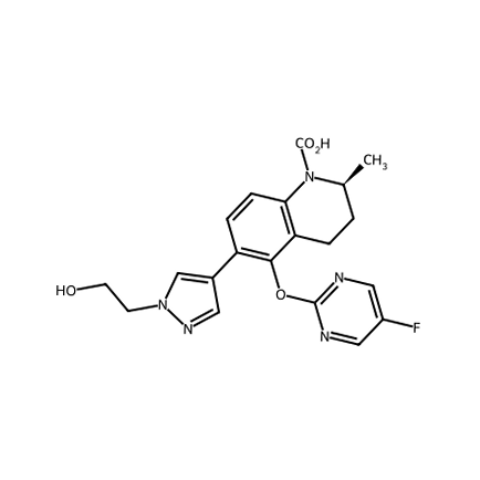 C[C@H]1CCc2c(ccc(-c3cnn(CCO)c3)c2Oc2ncc(F)cn2)N1C(=O)O